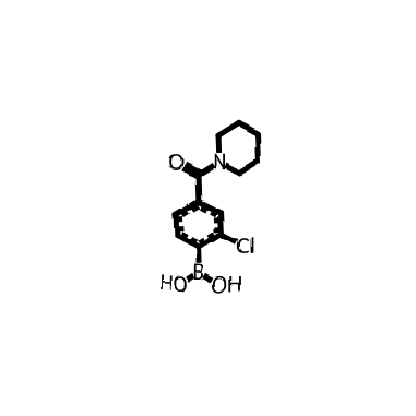 O=C(c1ccc(B(O)O)c(Cl)c1)N1CCCCC1